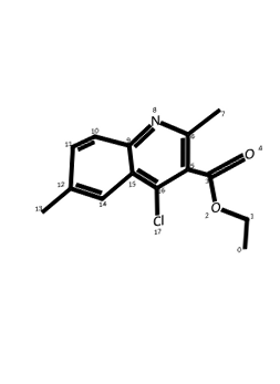 CCOC(=O)c1c(C)nc2ccc(C)cc2c1Cl